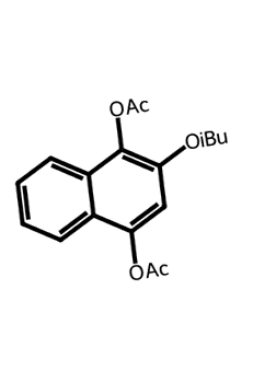 CC(=O)Oc1cc(OCC(C)C)c(OC(C)=O)c2ccccc12